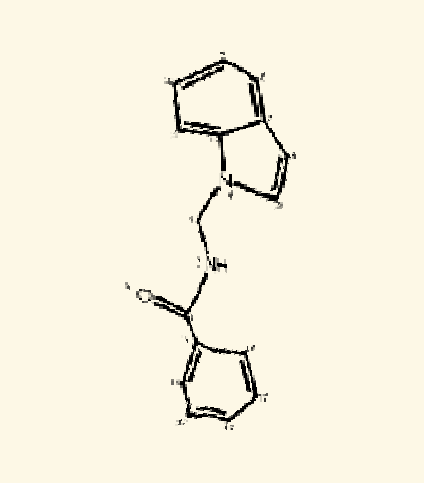 O=C(NCn1ccc2ccccc21)c1ccccc1